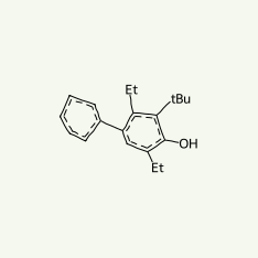 CCc1cc(-c2ccccc2)c(CC)c(C(C)(C)C)c1O